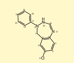 Clc1ccc2c(c1)CN(c1ccccc1)NC=N2